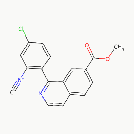 [C-]#[N+]c1cc(Cl)ccc1-c1nccc2ccc(C(=O)OC)cc12